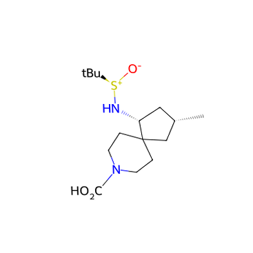 C[C@H]1C[C@@H](N[S@+]([O-])C(C)(C)C)C2(CCN(C(=O)O)CC2)C1